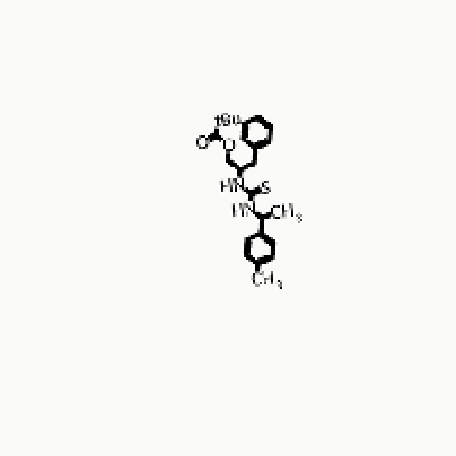 Cc1ccc(C(C)NC(=S)NC(COC(=O)C(C)(C)C)Cc2ccccc2)cc1